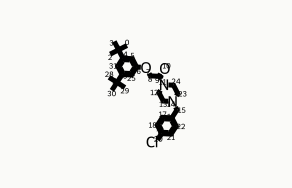 CC(C)(C)c1cc(OCC(=O)N2CCN(Cc3ccc(Cl)cc3)CC2)cc(C(C)(C)C)c1